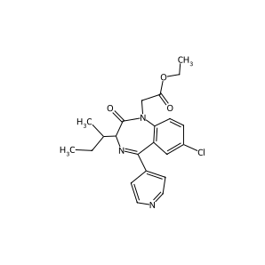 CCOC(=O)CN1C(=O)C(C(C)CC)N=C(c2ccncc2)c2cc(Cl)ccc21